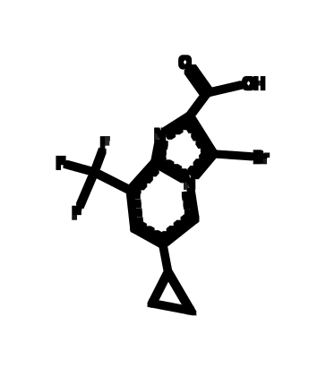 O=C(O)c1nc2c(C(F)(F)F)cc(C3CC3)cn2c1Br